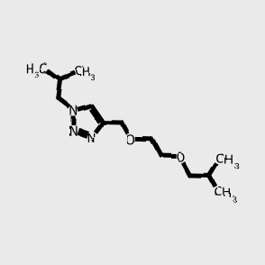 CC(C)COCCOCc1cn(CC(C)C)nn1